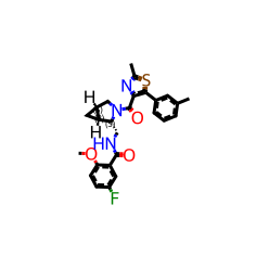 COc1ccc(F)cc1C(=O)NC[C@@H]1[C@@H]2C[C@@H]2CN1C(=O)c1nc(C)sc1-c1cccc(C)c1